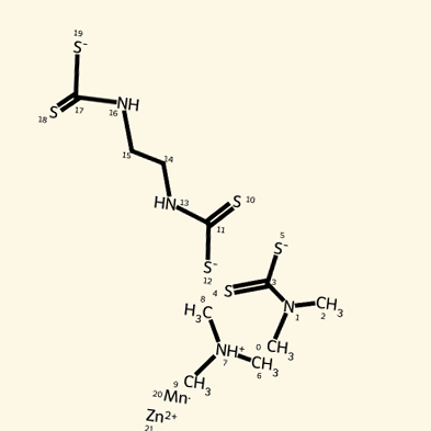 CN(C)C(=S)[S-].C[NH+](C)C.S=C([S-])NCCNC(=S)[S-].[Mn].[Zn+2]